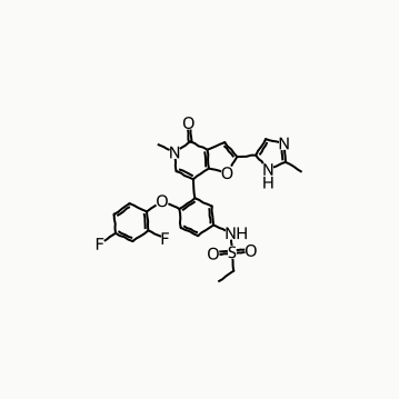 CCS(=O)(=O)Nc1ccc(Oc2ccc(F)cc2F)c(-c2cn(C)c(=O)c3cc(-c4cnc(C)[nH]4)oc23)c1